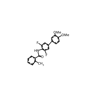 COc1ccc(-c2cc(F)c(NC(=O)c3ccccc3C)c(F)c2)cc1OC